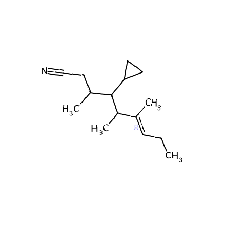 CC/C=C(\C)C(C)C(C(C)CC#N)C1CC1